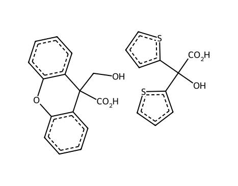 O=C(O)C(O)(c1cccs1)c1cccs1.O=C(O)C1(CO)c2ccccc2Oc2ccccc21